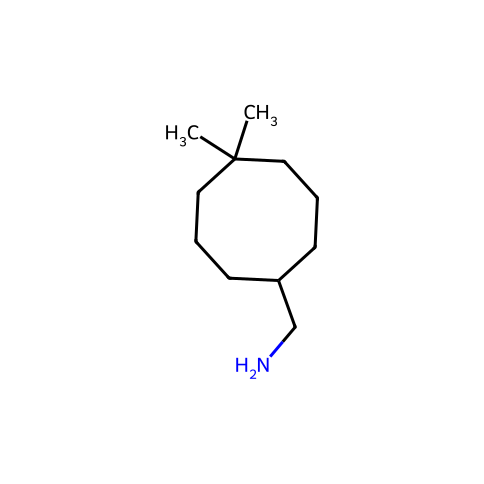 CC1(C)CCCC(CN)CCC1